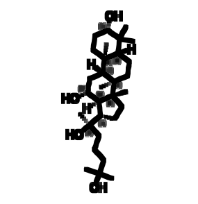 CC(C)(O)CCC[C@@](C)(O)[C@H]1CC[C@]2(C)[C@@H]1[C@H](O)C[C@@H]1[C@@]3(C)CC[C@H](O)C(C)(C)[C@@H]3CC[C@]12C